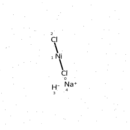 [Cl][Ni][Cl].[H-].[Na+]